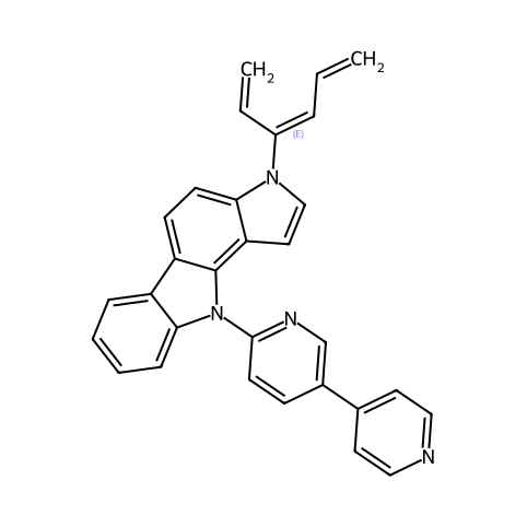 C=C/C=C(\C=C)n1ccc2c1ccc1c3ccccc3n(-c3ccc(-c4ccncc4)cn3)c12